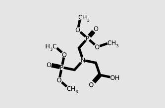 COP(=O)(CN(CC(=O)O)CP(=O)(OC)OC)OC